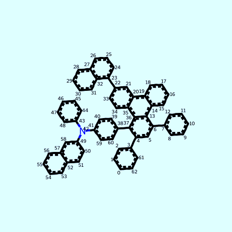 c1ccc(-c2cc(-c3ccccc3)c3c4ccccc4c4cc(-c5cccc6ccccc56)ccc4c3c2-c2ccc(N(c3ccccc3)c3ccc4ccccc4c3)cc2)cc1